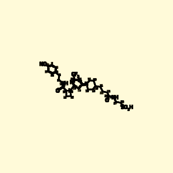 N#Cc1ccc(CCNC(=O)C2CCN2c2cc(N3CCC(CCCC(=O)NCCS(=O)(=O)O)CC3)nc(C(F)(F)F)n2)cc1